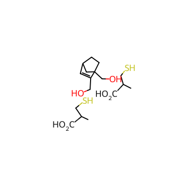 CC(CS)C(=O)O.CC(CS)C(=O)O.OCC1=CC2CCC1(CO)C2